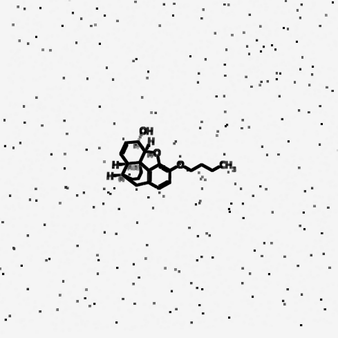 CCCCOc1ccc2c3c1O[C@H]1[C@@H](O)C=C[C@H]4[C@H](CCC[C@@]341)C2